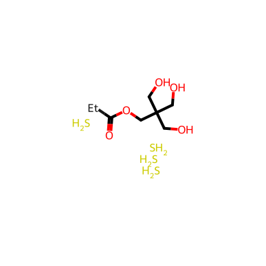 CCC(=O)OCC(CO)(CO)CO.S.S.S.S